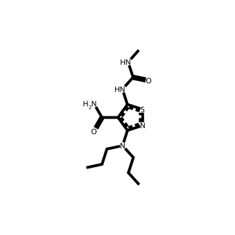 CCCN(CCC)c1nsc(NC(=O)NC)c1C(N)=O